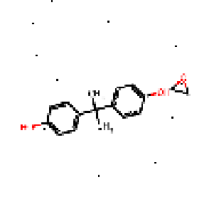 C1CO1.CC(C)(c1ccc(O)cc1)c1ccc(O)cc1